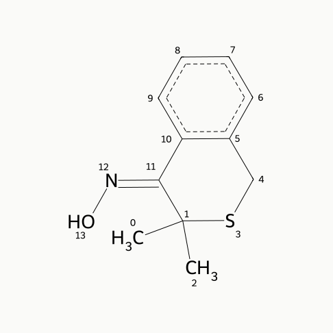 CC1(C)SCc2ccccc2C1=NO